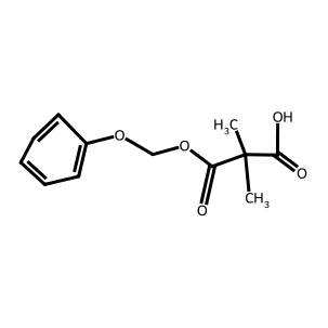 CC(C)(C(=O)O)C(=O)OCOc1ccccc1